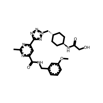 COc1cccc(CNC(=O)c2cc(-c3nnn(C[C@H]4CC[C@H](NC(=O)CO)CC4)n3)nc(C)n2)c1